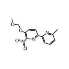 COCOc1ccc(-c2cccc(C)n2)nc1[N+](=O)[O-]